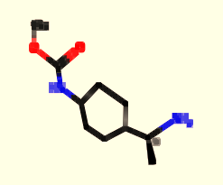 C[C@H](N)C1CCC(NC(=O)OC(C)(C)C)CC1